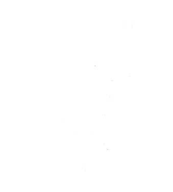 Cc1ccc(C#CC(=O)c2ccccc2F)cc1